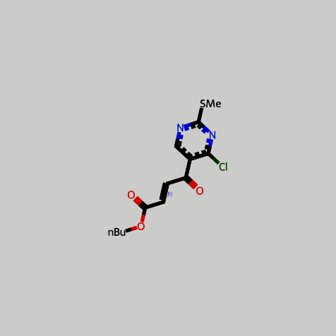 CCCCOC(=O)/C=C/C(=O)c1cnc(SC)nc1Cl